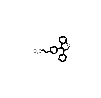 O=C(O)/C=C/c1ccc(C2=C(c3ccccc3)COc3ccccc32)cc1